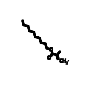 C=C(C)C(=O)OCCCCCCCCCC.[CH3]